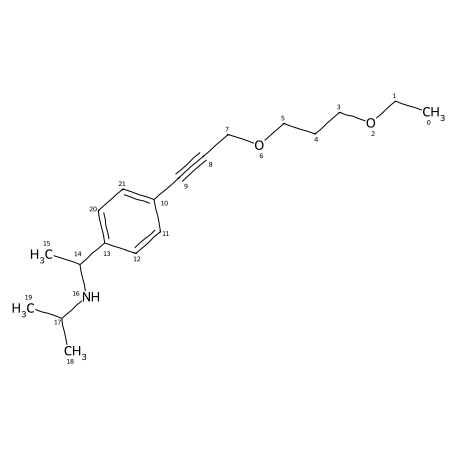 CCOCCCOCC#Cc1ccc(C(C)NC(C)C)cc1